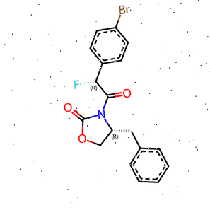 O=C1OC[C@@H](Cc2ccccc2)N1C(=O)[C@H](F)c1ccc(Br)cc1